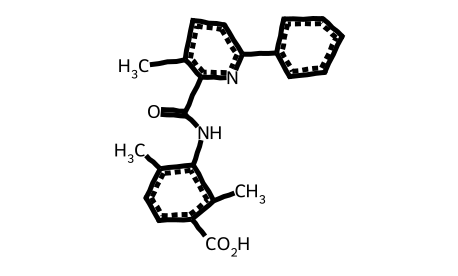 Cc1ccc(-c2ccccc2)nc1C(=O)Nc1c(C)ccc(C(=O)O)c1C